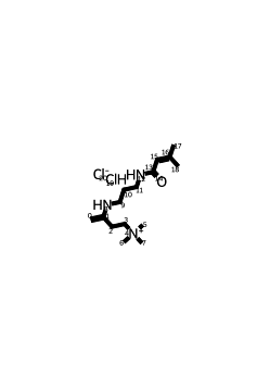 C=C(CC[N+](C)(C)C)NCCCNC(=O)C=C(C)C.Cl.[Cl-]